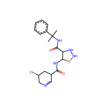 CC(C)(NC(=O)C1NNSC1NC(=O)C1C=NCC(Cl)C1)c1ccccc1